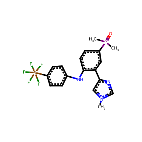 Cn1cnc(-c2cc(P(C)(C)=O)ccc2Nc2ccc(S(F)(F)(F)(F)F)cc2)c1